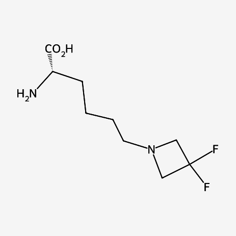 N[C@@H](CCCCN1CC(F)(F)C1)C(=O)O